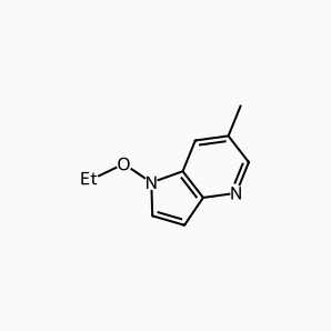 CCOn1ccc2ncc(C)cc21